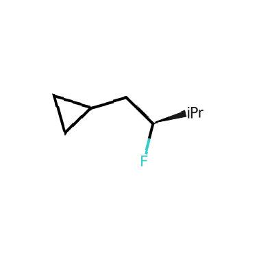 CC(C)[C@@H](F)CC1CC1